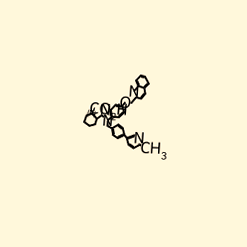 Cc1ccc(-c2ccc(Cn3c(C4CCCC[C@H]4C(=O)O)nc4cc(OCc5ccc6ccccc6n5)ccc43)cc2)cn1